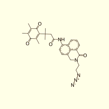 CC1=C(C)C(=O)C(C(C)(C)CC(=O)Nc2ccc3c4c(cccc24)C(=O)N(CCN=[N+]=[N-])C3)=C(C)C1=O